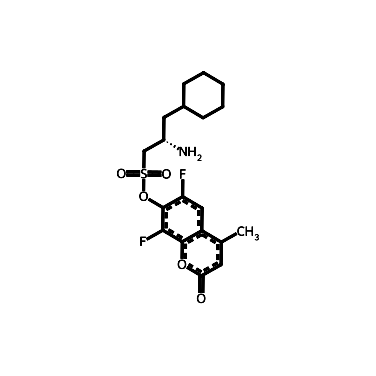 Cc1cc(=O)oc2c(F)c(OS(=O)(=O)C[C@@H](N)CC3CCCCC3)c(F)cc12